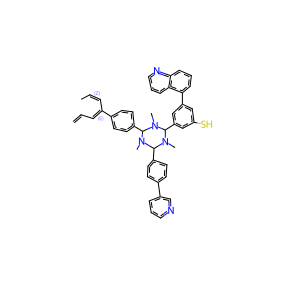 C=C/C=C(\C=C/C)c1ccc(C2N(C)C(c3ccc(-c4cccnc4)cc3)N(C)C(c3cc(S)cc(-c4cccc5ncccc45)c3)N2C)cc1